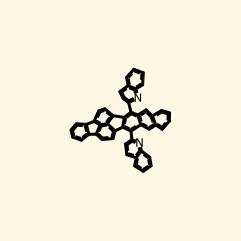 c1ccc2c(c1)-c1ccc3c4c(ccc-2c14)-c1c-3c(-c2ccc3ccccc3n2)c2cc3ccccc3cc2c1-c1ccc2ccccc2n1